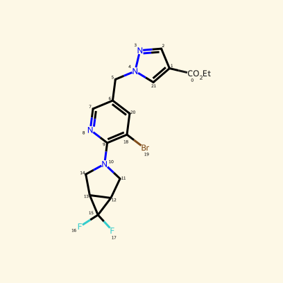 CCOC(=O)c1cnn(Cc2cnc(N3CC4C(C3)C4(F)F)c(Br)c2)c1